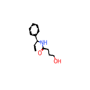 C=CC(NC(=O)CCCO)c1ccccc1